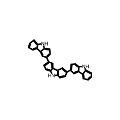 c1ccc2c(c1)[nH]c1ccc(-c3ccc4[nH]c5ccc(-c6ccc7[nH]c8ccccc8c7c6)cc5c4c3)cc12